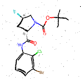 CC(C)(C)OC(=O)N1C[C@H](F)C[C@H]1C(=O)Nc1cccc(Br)c1Cl